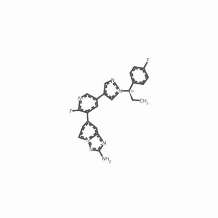 CC[C@H](c1ccc(F)cc1)n1cc(-c2cnc(F)c(-c3ccn4nc(N)nc4c3)c2)cn1